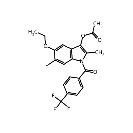 CCOc1cc2c(OC(C)=O)c(C)n(C(=O)c3ccc(C(F)(F)F)cc3)c2cc1F